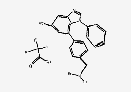 CCN(CC)Cc1ccc(-c2cc(C#N)cc3ncn(-c4ccccc4)c23)cc1.O=C(O)C(F)(F)F